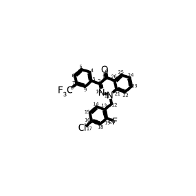 O=c1c(-c2cccc(C(F)(F)F)c2)nn(Cc2ccc(Cl)cc2F)c2ccccc12